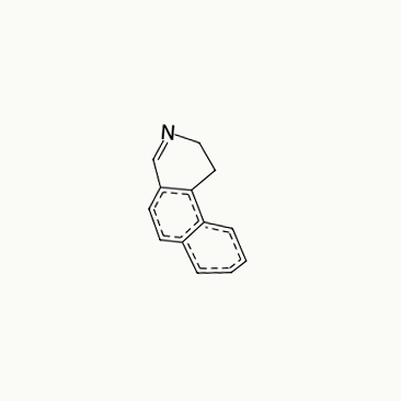 C1=NCCc2c1ccc1ccccc21